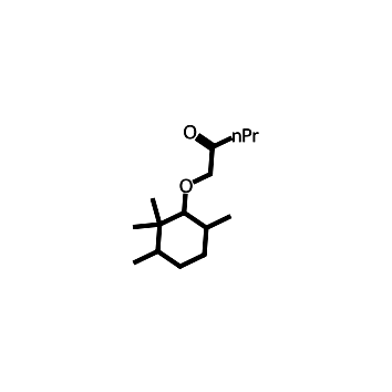 CCCC(=O)COC1C(C)CCC(C)C1(C)C